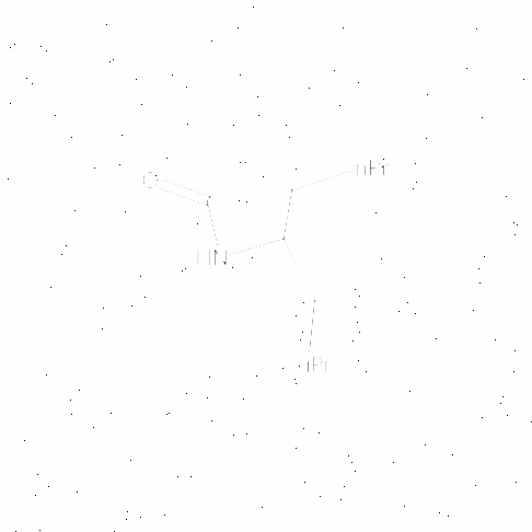 CCCC1CC(=O)NC1CC(C)C